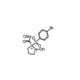 COC(=O)[C@]1(S(=O)(=O)c2ccc(Br)cc2)CCCN1O